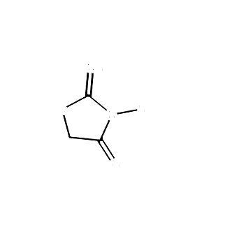 BN1C(=N)SCC1=O